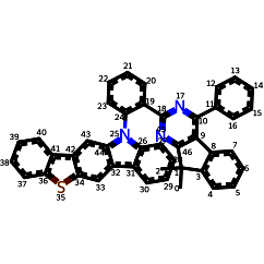 CC1(C)c2ccccc2-c2c(-c3ccccc3)nc(-c3ccccc3-n3c4ccccc4c4cc5sc6ccccc6c5cc43)nc21